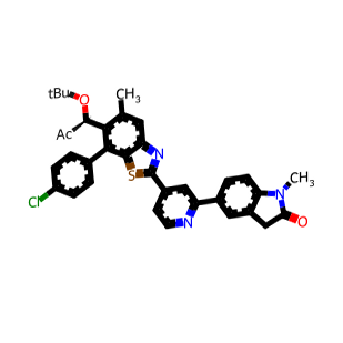 CC(=O)[C@@H](OC(C)(C)C)c1c(C)cc2nc(-c3ccnc(-c4ccc5c(c4)CC(=O)N5C)c3)sc2c1-c1ccc(Cl)cc1